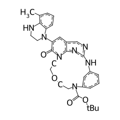 Cc1cccc2c1NCCN2c1cc2cnc3nc2n(c1=O)CCOCCN(C(=O)OC(C)(C)C)c1cccc(c1)N3